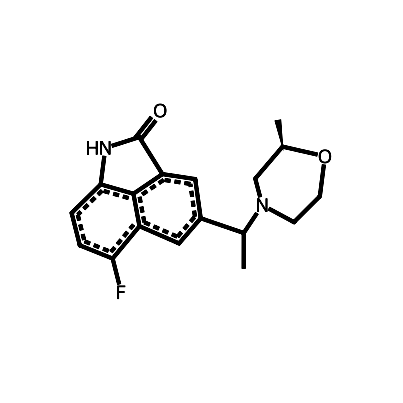 CC(c1cc2c3c(ccc(F)c3c1)NC2=O)N1CCO[C@H](C)C1